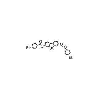 CCc1ccc(OCOc2ccc3c(c2)C(C)(C)c2cc(OC(=O)c4ccc(CC)cc4)ccc2-3)cc1